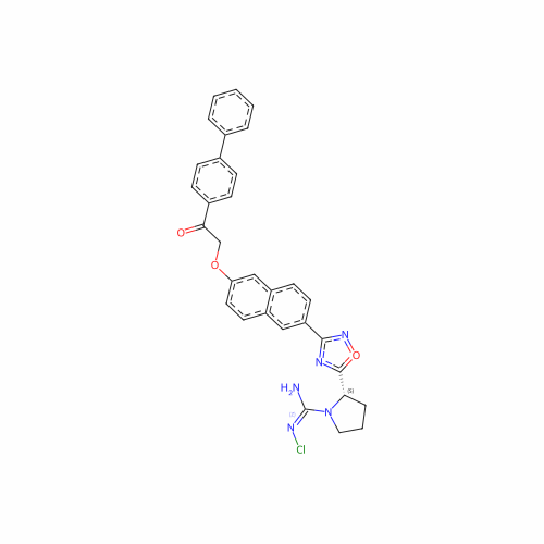 N/C(=N/Cl)N1CCC[C@H]1c1nc(-c2ccc3cc(OCC(=O)c4ccc(-c5ccccc5)cc4)ccc3c2)no1